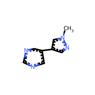 Cn1cc(-c2cn[c]nc2)cn1